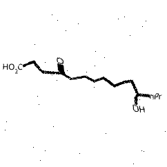 CCCC(O)CCCCCCC(=O)CCC(=O)O